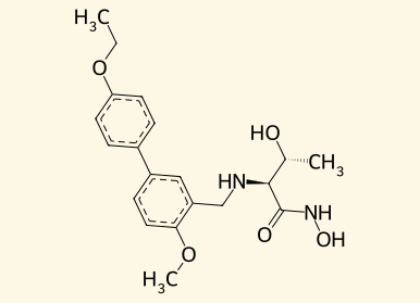 CCOc1ccc(-c2ccc(OC)c(CN[C@H](C(=O)NO)[C@@H](C)O)c2)cc1